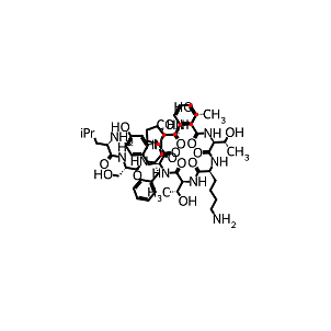 CC(C)C[C@H](N)C(=O)N[C@@H](CO)C(=O)N[C@@H](Cc1ccccc1)C(=O)N1CCC[C@H]1C(=O)N[C@H](C(=O)N[C@H](C(=O)N[C@@H](CCCCN)C(=O)N[C@H](C(=O)N[C@@H](Cc1ccc(O)cc1)C(=O)N[C@@H](Cc1ccccc1)C(=O)O)[C@@H](C)O)[C@@H](C)O)[C@@H](C)O